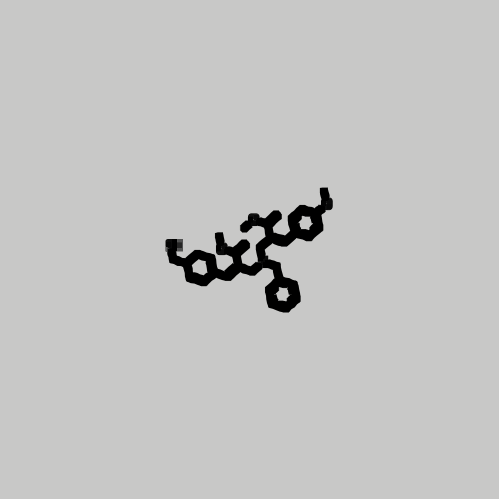 C=C(OC)/C(=C\C1=CCC(CS)C=C1)CN(C/C(=C/c1ccc(OC)cc1)C(=C)OC)Cc1ccccc1